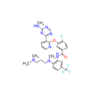 CNc1ncnc(-c2cccnc2Oc2cc(C(=O)Nc3cc(C(F)(F)F)ccc3N(C)CCCN(C)C)ccc2F)n1